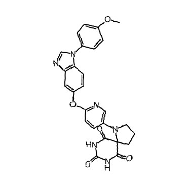 COc1ccc(-n2cnc3cc(Oc4ccc(N5CCCC56C(=O)NC(=O)NC6=O)cn4)ccc32)cc1